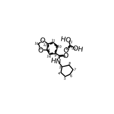 O=C(NC1CCCCC1)c1ccc2c(c1)OCO2.O=C(O)O